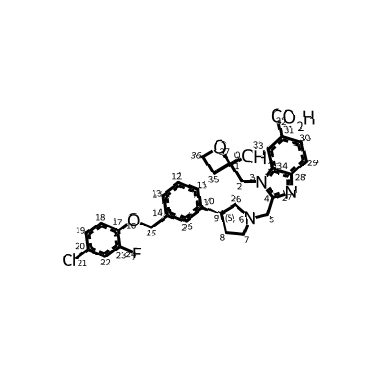 CC1(Cn2c(CN3CC[C@@H](c4cccc(COc5ccc(Cl)cc5F)c4)C3)nc3ccc(C(=O)O)cc32)CCO1